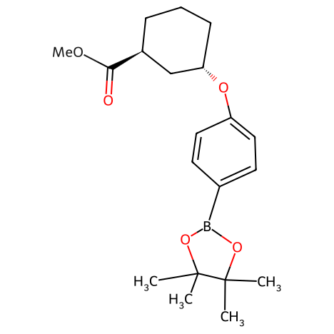 COC(=O)[C@H]1CCC[C@H](Oc2ccc(B3OC(C)(C)C(C)(C)O3)cc2)C1